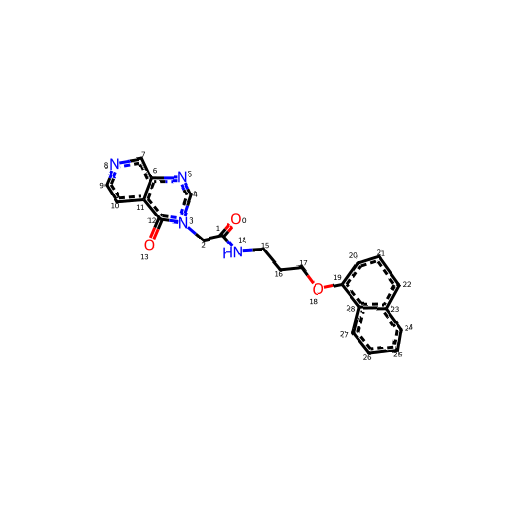 O=C(Cn1cnc2cnccc2c1=O)NCCCOc1cccc2ccccc12